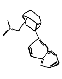 CN(C)CC1C2CCC(CC2)C1c1ccc2ccccc2c1